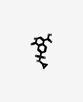 O=C(O)c1c[nH]c(=O)c2cc(S(=O)(=O)NC3CC3)ccc12